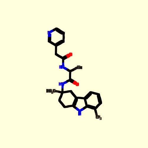 CCC(C)C(NC(=O)Cc1cccnc1)C(=O)NC1(C(=O)O)CCc2[nH]c3c(C(F)(F)F)cccc3c2C1